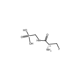 N[C@@H](CF)C(=O)NCP(=O)(O)O